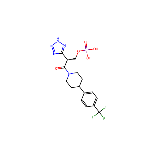 O=C([C@H](COP(=O)(O)O)c1nn[nH]n1)N1CCC(c2ccc(C(F)(F)F)cc2)CC1